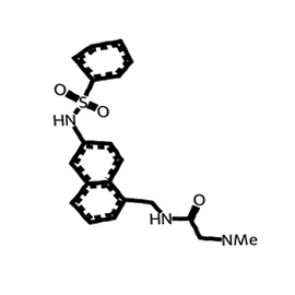 CNCC(=O)NCc1cccc2cc(NS(=O)(=O)c3ccccc3)ccc12